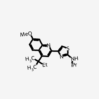 CCC(C)(C)c1cc(-c2csc(NC(C)C)n2)nc2cc(OC)ccc12